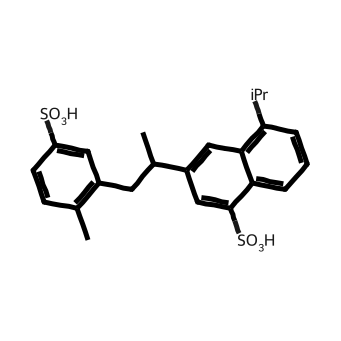 Cc1ccc(S(=O)(=O)O)cc1CC(C)c1cc(S(=O)(=O)O)c2cccc(C(C)C)c2c1